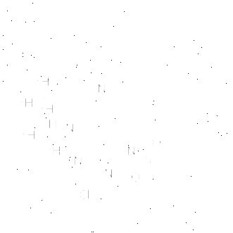 [2H]C([2H])([2H])C1CCN(Cc2ccccc2)CC1N(c1nc(Cl)nc2c1ccn2S(=O)(=O)c1ccc(C)cc1)C([2H])([2H])[2H]